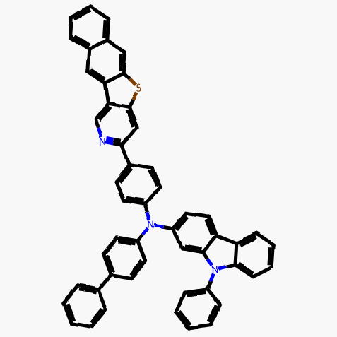 c1ccc(-c2ccc(N(c3ccc(-c4cc5sc6cc7ccccc7cc6c5cn4)cc3)c3ccc4c5ccccc5n(-c5ccccc5)c4c3)cc2)cc1